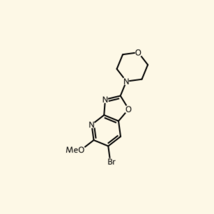 COc1nc2nc(N3CCOCC3)oc2cc1Br